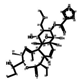 CC[C@@H](O)[C@H]1OC(=O)[C@H](CC)[C@H]2C=C[C@H]3[C@H]4O[C@]2(/C(C)=C/[C@H]1C)[C@@H]3[C@H](O)[C@@H](COC)[C@H]4OC(=O)c1cocn1